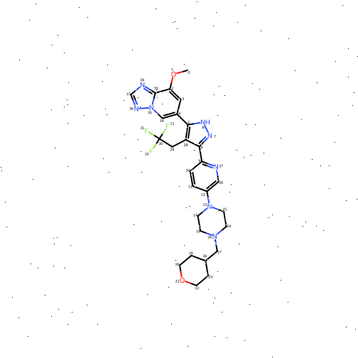 COc1cc(-c2[nH]nc(-c3ccc(N4CCN(CC5CCOCC5)CC4)cn3)c2CC(F)(F)F)cn2ncnc12